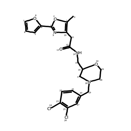 Cc1oc(-c2ccco2)nc1CC(=O)NCC1CN(Cc2ccc(Cl)c(Cl)c2)CCO1